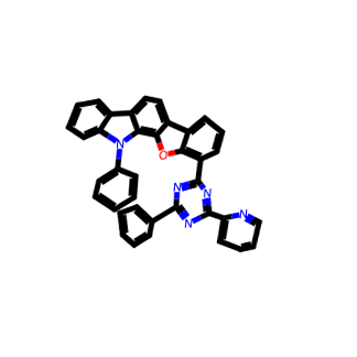 c1ccc(-c2nc(-c3ccccn3)nc(-c3cccc4c3oc3c4ccc4c5ccccc5n(-c5ccccc5)c43)n2)cc1